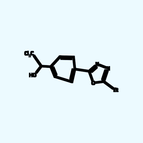 CCc1nnc(-c2ccc(C(O)C(Cl)(Cl)Cl)cc2)o1